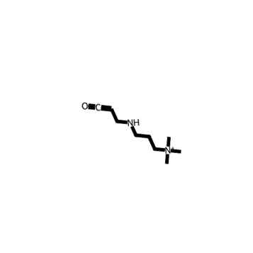 C[N+](C)(C)CCCNCC=C=O